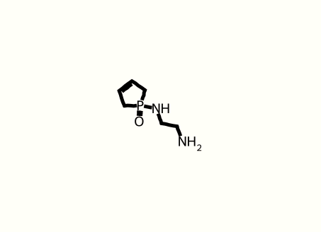 NCCNP1(=O)CC=CC1